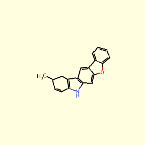 CC1C=Cc2[nH]c3cc4oc5ccccc5c4cc3c2C1